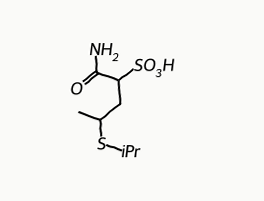 CC(C)SC(C)CC(C(N)=O)S(=O)(=O)O